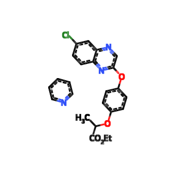 CCOC(=O)C(C)Oc1ccc(Oc2cnc3cc(Cl)ccc3n2)cc1.c1ccncc1